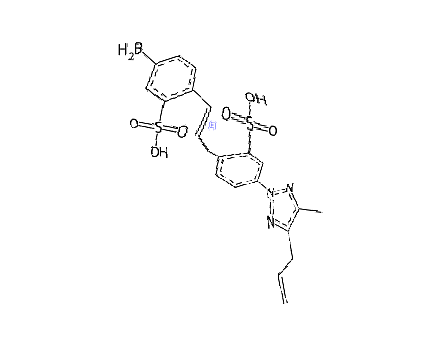 Bc1ccc(/C=C/c2ccc(-n3nc(C)c(CC=C)n3)cc2S(=O)(=O)O)c(S(=O)(=O)O)c1